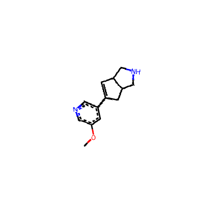 COc1cncc(C2=CC3CNCC3C2)c1